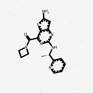 C[C@H](Nc1nc(C(=O)N2CCC2)c2sc(N)cc2n1)c1ccccn1